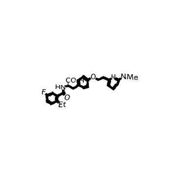 CCc1ccc(F)cc1C(=O)N[C@@H](Cc1ccc(OCCc2cccc(NC)n2)cc1)C(=O)O